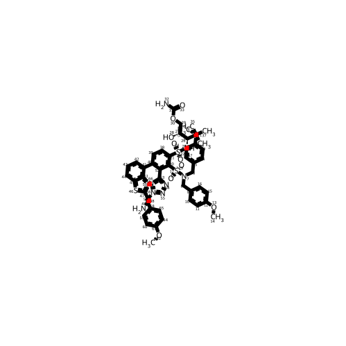 COc1ccc(CN(Cc2ccc(OC)cc2)S(=O)(=O)c2c(S(=O)(=O)N[C@H]([C@H](O)COC(N)=O)C(C)(C)C)ccc(-c3cccc4sc(CN)nc34)c2-c2nnn(Cc3ccc(OC)cc3)n2)cc1